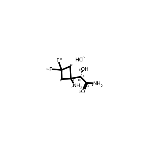 Cl.NC(=O)[C@@H](O)C1(N)CC(F)(F)C1